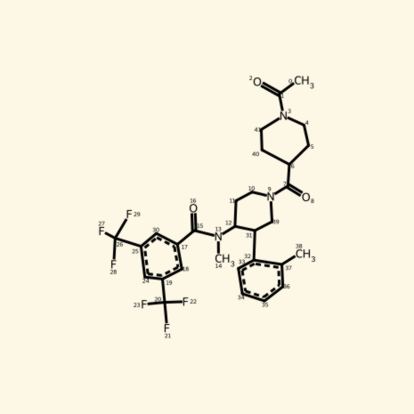 CC(=O)N1CCC(C(=O)N2CCC(N(C)C(=O)c3cc(C(F)(F)F)cc(C(F)(F)F)c3)C(c3ccccc3C)C2)CC1